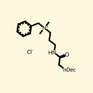 CCCCCCCCCCCC(=O)NCCC[N+](C)(C)Cc1ccccc1.[Cl-]